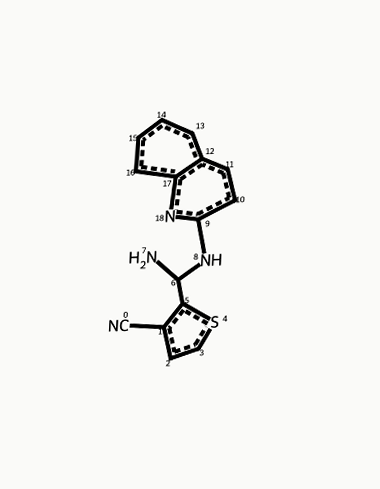 N#Cc1ccsc1C(N)Nc1ccc2ccccc2n1